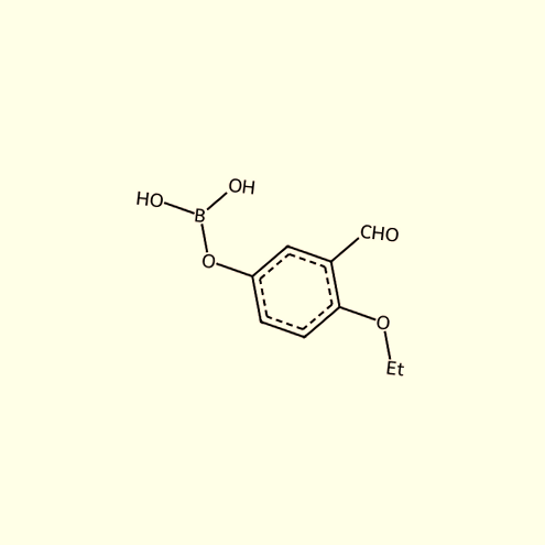 CCOc1ccc(OB(O)O)cc1C=O